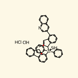 CC1=Cc2c(-c3cnc4ccccc4c3)cccc2[CH]1[Zr](=[SiH2])([c]1ccccc1)([c]1ccccc1)[c]1cccc2c1Cc1ccccc1-2.Cl.Cl